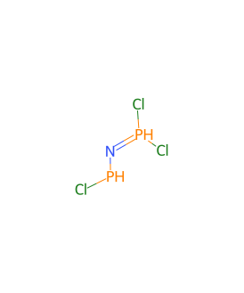 ClPN=[PH](Cl)Cl